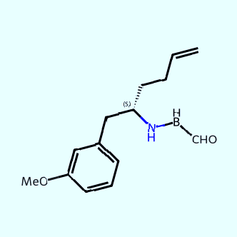 C=CCC[C@@H](Cc1cccc(OC)c1)NBC=O